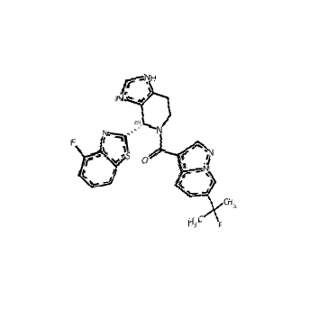 CC(C)(F)c1ccc2c(C(=O)N3CCc4[nH]cnc4[C@H]3c3nc4c(F)cccc4s3)cnn2c1